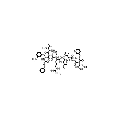 CCC(C)[C@H](NC(=O)[C@@H](CCCNC(=N)N)NC(=O)[C@H](CC(C)C)N(C(=O)[C@H](Cc1cccc(N)c1)NC(=O)OCc1ccccc1)C(=O)[C@@H](N)[C@H](O)C(C)C)C(=O)N[C@H](C(=O)NCC(=O)N(C(=O)[C@@H](N)Cc1cccnc1)[C@@H](CO)C(=O)O)[C@H](C)O